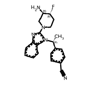 C[C@H](c1ccc(C#N)cc1)n1c(N2CC[C@@H](F)[C@H](N)C2)nc2ccccc21